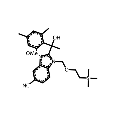 COc1cc(C)cc(C)c1C(C)(O)c1nc2cc(C#N)ccc2n1COCC[Si](C)(C)C